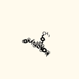 CCCc1ccc(CNC(=O)[C@H]2CN(C(=O)Nc3nc(CC(=O)N4CCOCC4)cs3)CCN2S(=O)(=O)c2ccc(OC(F)(F)F)cc2)cc1